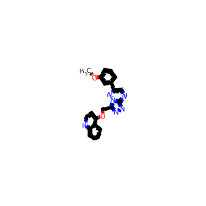 COc1cccc(-c2cnc3nnc(COc4ccnc5ccccc45)n3n2)c1